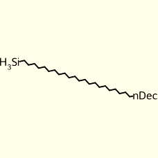 CCCCCCCCCCCCCCCCCCCCCCCCCCCCCCCC[SiH3]